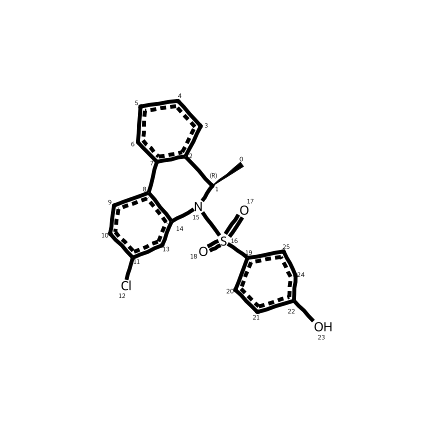 C[C@@H]1c2ccccc2-c2ccc(Cl)cc2N1S(=O)(=O)c1ccc(O)cc1